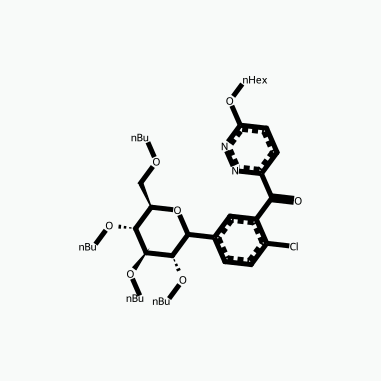 CCCCCCOc1ccc(C(=O)c2cc(C3O[C@H](COCCCC)[C@@H](OCCCC)[C@H](OCCCC)[C@H]3OCCCC)ccc2Cl)nn1